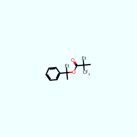 CCC(C)(OC(=O)C(C)(CC)C(F)(F)F)c1ccccc1